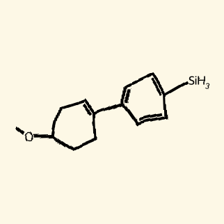 COC1CC=C(c2ccc([SiH3])cc2)CC1